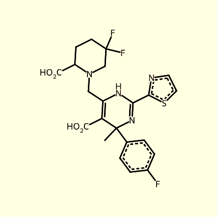 CC1(c2ccc(F)cc2)N=C(c2nccs2)NC(CN2CC(F)(F)CCC2C(=O)O)=C1C(=O)O